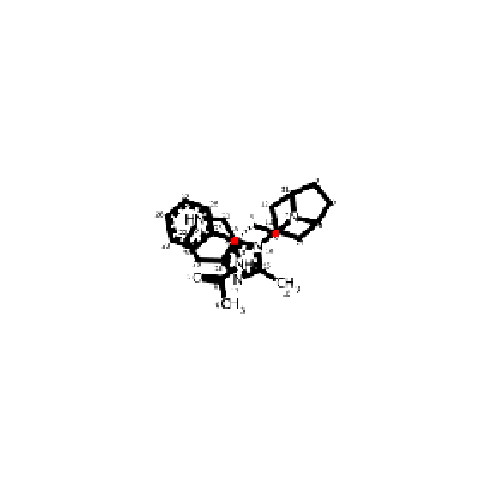 CC(=O)N[C@@H](CCN1C2CCC1CC(n1c(C)nc3c1CNCC3)C2)c1ccccc1